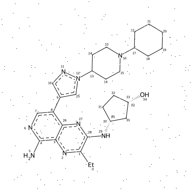 CCc1nc2c(N)ncc(-c3cnn(C4CCN(C5CCCCC5)CC4)c3)c2nc1N[C@@H]1CC[C@H](O)C1